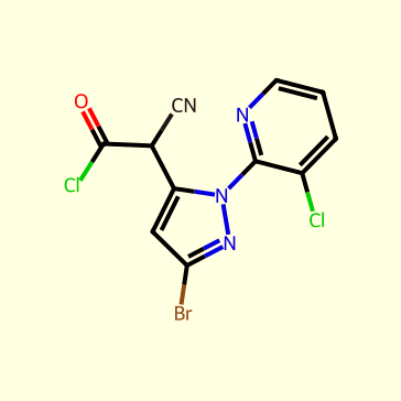 N#CC(C(=O)Cl)c1cc(Br)nn1-c1ncccc1Cl